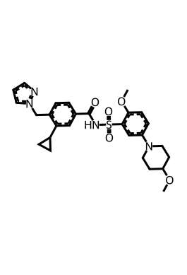 COc1ccc(N2CCC(OC)CC2)cc1S(=O)(=O)NC(=O)c1ccc(Cn2cccn2)c(C2CC2)c1